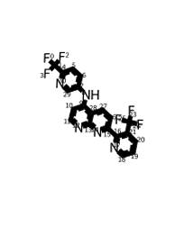 FC(F)(F)c1ccc(Nc2ccnc3nc(-c4ncccc4C(F)(F)F)ccc23)cn1